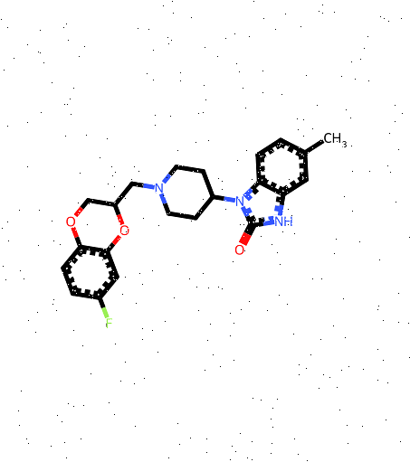 Cc1ccc2c(c1)[nH]c(=O)n2C1CCN(CC2COc3ccc(F)cc3O2)CC1